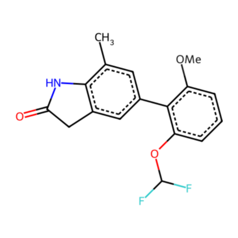 COc1cccc(OC(F)F)c1-c1cc(C)c2c(c1)CC(=O)N2